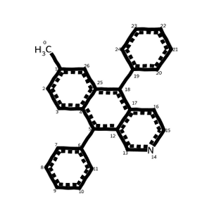 Cc1ccc2c(-c3ccccc3)c3cnccc3c(-c3ccccc3)c2c1